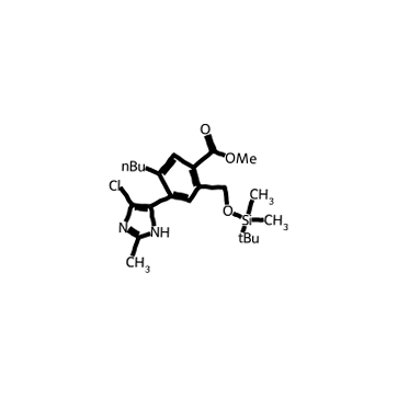 CCCCc1cc(C(=O)OC)c(CO[Si](C)(C)C(C)(C)C)cc1-c1[nH]c(C)nc1Cl